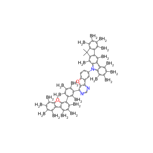 Bc1c(B)c(-c2ncnc3c2oc2ccc(-n4c5c(B)c(B)c(B)c(B)c5c5c(B)c6c(c(B)c54)C(C)(C)c4c(B)c(B)c(B)c(B)c4-6)cc23)c(B)c(-c2c(B)c(B)c(B)c3c2oc2c(B)c(B)c(B)c(B)c23)c1B